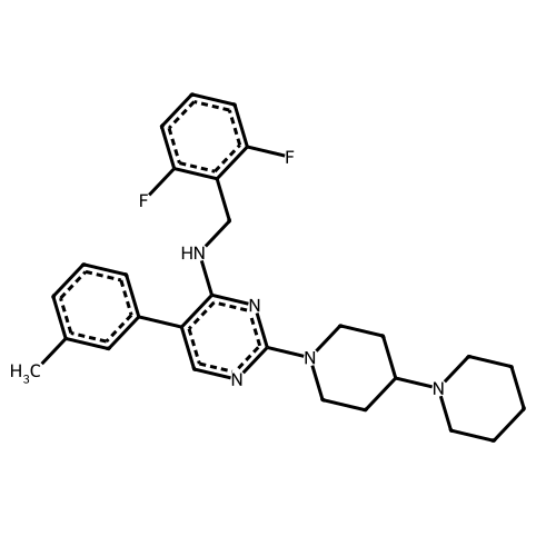 Cc1cccc(-c2cnc(N3CCC(N4CCCCC4)CC3)nc2NCc2c(F)cccc2F)c1